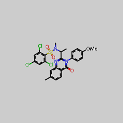 COc1ccc(-n2c(C(C)N(C)S(=O)(=O)c3c(Cl)cc(Cl)cc3Cl)nc3cc(C)ccc3c2=O)cc1